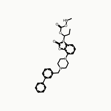 CCC(OC(=O)ONC)n1c(=O)oc2c(N3CCN(Cc4cccc(-c5ccccc5)c4)CC3)cccc21